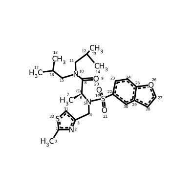 Cc1nc(CN([C@@H](C)C(=O)N(CC(C)C)CC(C)C)S(=O)(=O)c2ccc3occc3c2)cs1